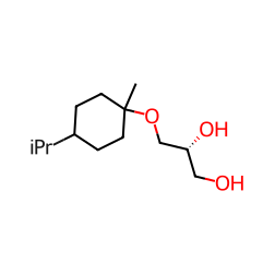 CC(C)C1CCC(C)(OC[C@H](O)CO)CC1